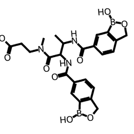 CC(NC(=O)c1ccc2c(c1)B(O)OC2)C(NC(=O)c1ccc2c(c1)B(O)OC2)C(=O)N(C)CCC(=O)O